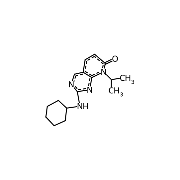 CC(C)n1c(=O)ccc2cnc(NC3CCCCC3)nc21